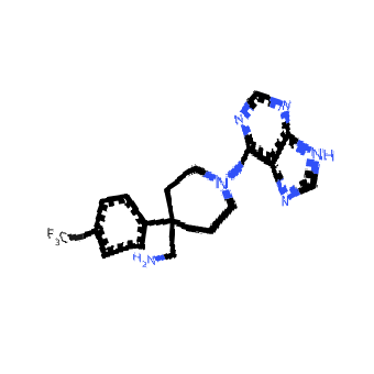 NCC1(c2ccc(C(F)(F)F)cc2)CCN(c2ncnc3[nH]cnc23)CC1